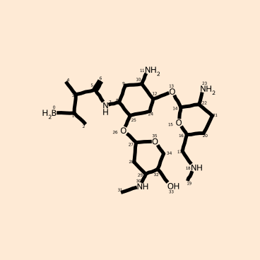 BC(C)C(C)C(=C)NC1CC(N)C(OC2OC(CNC)CCC2N)CC1OC1CC(NC)C(O)CO1